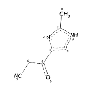 Cc1nc(C(=O)CC#N)c[nH]1